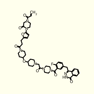 C=CC(=O)N1CCN(c2ccc(CCC(=O)N3CCC(OC4CCN(CC(=O)N5CCN(C(=O)c6cc(Cc7n[nH]c(=O)c8ccccc78)ccc6F)CC5)CC4)CC3)o2)C(=O)C1